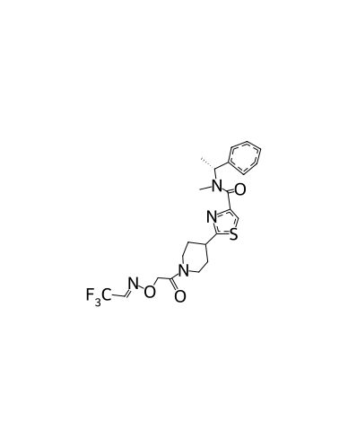 C[C@H](c1ccccc1)N(C)C(=O)c1csc(C2CCN(C(=O)CON=CC(F)(F)F)CC2)n1